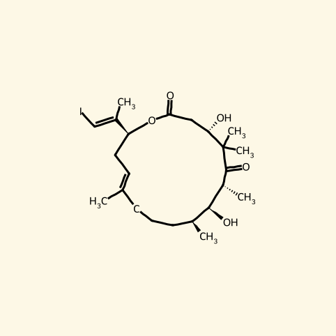 C/C1=C\C[C@@H](/C(C)=C/I)OC(=O)C[C@H](O)C(C)(C)C(=O)[C@H](C)[C@@H](O)[C@@H](C)CCC1